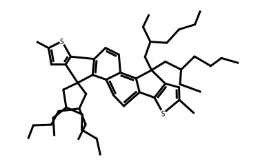 CCCCC(CC)CC1(CC(CC)CCCC)c2cc(C)sc2-c2ccc3c4c(ccc3c21)-c1sc(C)cc1C4(CC(CC)CCCC)CC(CC)CCCC